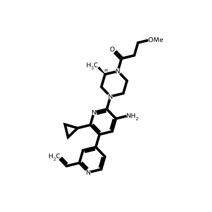 C=Cc1cc(-c2cc(N)c(N3CCN(C(=O)CCOC)[C@H](C)C3)nc2C2CC2)ccn1